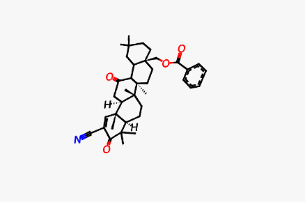 CC1(C)CC[C@]2(COC(=O)c3ccccc3)CC[C@]3(C)C(C(=O)C[C@@H]4[C@@]5(C)C=C(C#N)C(=O)C(C)(C)[C@@H]5CC[C@]43C)C2C1